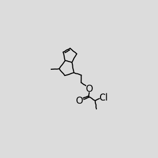 CC(Cl)C(=O)OCCC1CC(C)C2C=CCC12